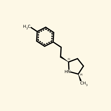 Cc1ccc(CC[C@H]2CC[C@@H](C)N2)cc1